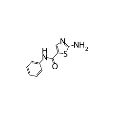 Nc1ncc(C(=O)Nc2ccccc2)s1